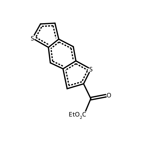 CCOC(=O)C(=O)c1cc2cc3sccc3cc2s1